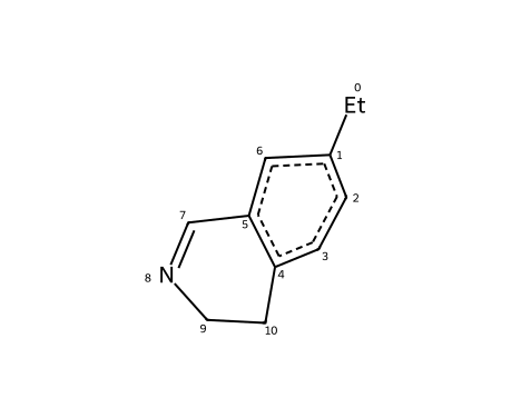 CCc1ccc2c(c1)C=NCC2